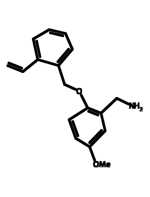 C=Cc1ccccc1COc1ccc(OC)cc1CN